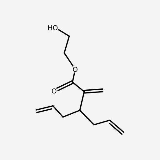 C=CCC(CC=C)C(=C)C(=O)OCCO